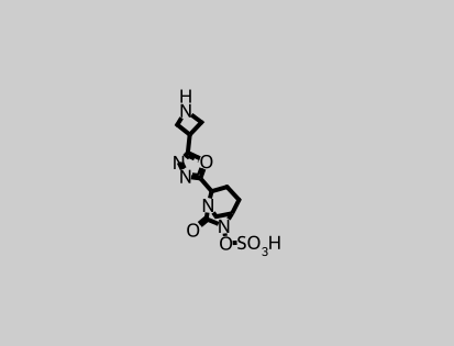 O=C1N2CC(CCC2c2nnc(C3CNC3)o2)N1OS(=O)(=O)O